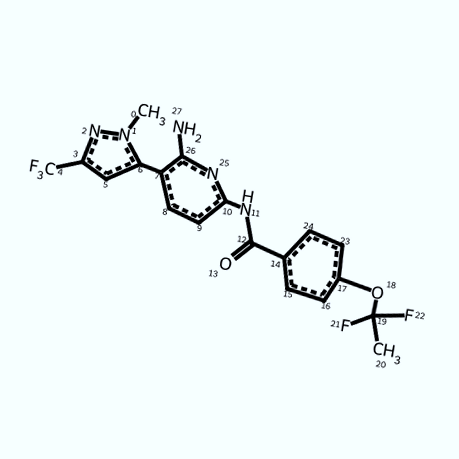 Cn1nc(C(F)(F)F)cc1-c1ccc(NC(=O)c2ccc(OC(C)(F)F)cc2)nc1N